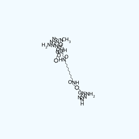 CN(Cc1cnc2nc(N)nc(N)c2n1)c1ccc(C(=O)N[C@@H](CCC(=O)NCCCCCCCCCCCC(=O)NCc2ccc(COc3nc(N)nc4[nH]cnc34)cc2)C(=O)OCc2ccccc2)cc1